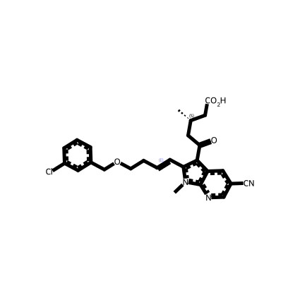 C[C@H](CC(=O)O)CC(=O)c1c(/C=C/CCOCc2cccc(Cl)c2)n(C)c2ncc(C#N)cc12